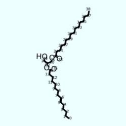 CCCCCC=CCCCCCCCC(=O)OC(CO)COC(=O)CCCCCCCCCCCCCCC